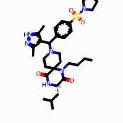 CCCCN1C(=O)[C@H](CC(C)C)NC(=O)C12CCN(C(c1ccc(S(=O)(=O)N3CCCC3)cc1)c1c(C)n[nH]c1C)CC2